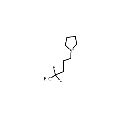 FC(F)(F)C(F)(F)CCC[S+]1CCCC1